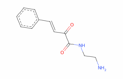 NCCNC(=O)C(=O)/C=C/c1ccccc1